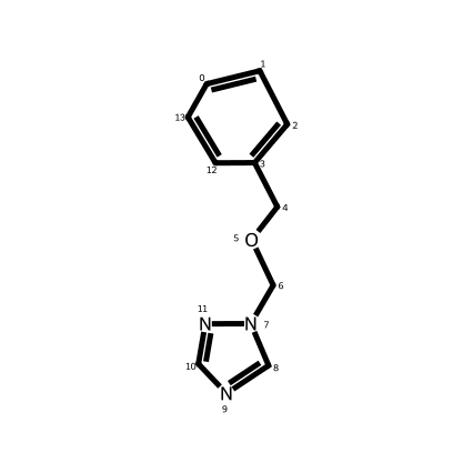 c1ccc(COCn2cncn2)cc1